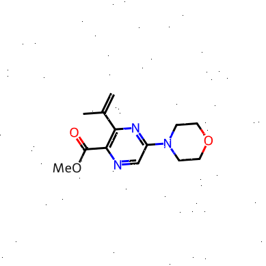 C=C(C)c1nc(N2CCOCC2)cnc1C(=O)OC